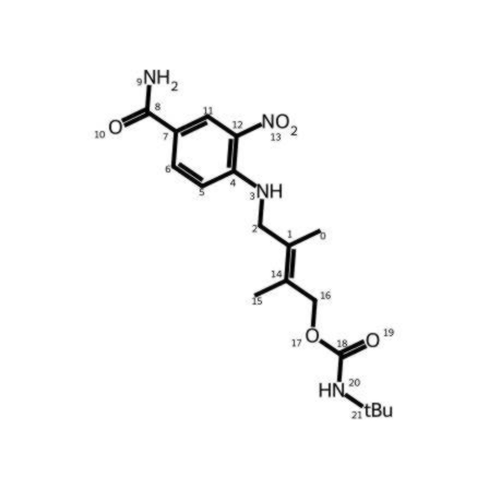 C/C(CNc1ccc(C(N)=O)cc1[N+](=O)[O-])=C(/C)COC(=O)NC(C)(C)C